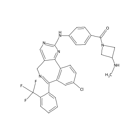 CNC1CN(C(=O)c2ccc(Nc3ncc4c(n3)-c3ccc(Cl)cc3C(c3ccccc3C(F)(F)F)=NC4)cc2)C1